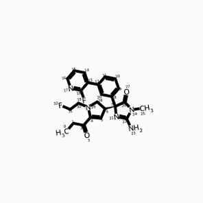 CCC(=O)C1=CC([C@]2(c3cccc(-c4cccnc4F)c3)N=C(N)N(C)C2=O)CN1CCF